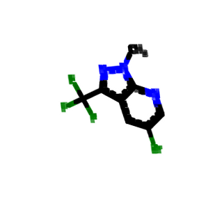 Cn1nc(C(F)(F)F)c2cc(Br)cnc21